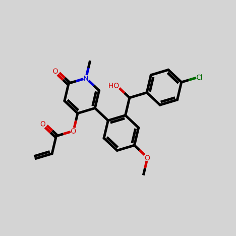 C=CC(=O)Oc1cc(=O)n(C)cc1-c1ccc(OC)cc1C(O)c1ccc(Cl)cc1